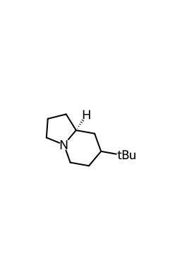 CC(C)(C)C1CCN2CCC[C@H]2C1